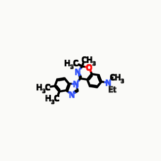 CCN(C)c1ccc2c(c1)OC(C)(C)N=C2n1cnc2c(C)c(C)ccc21